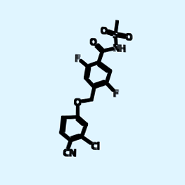 CS(=O)(=O)NC(=O)c1cc(F)c(COc2ccc(C#N)c(Cl)c2)cc1F